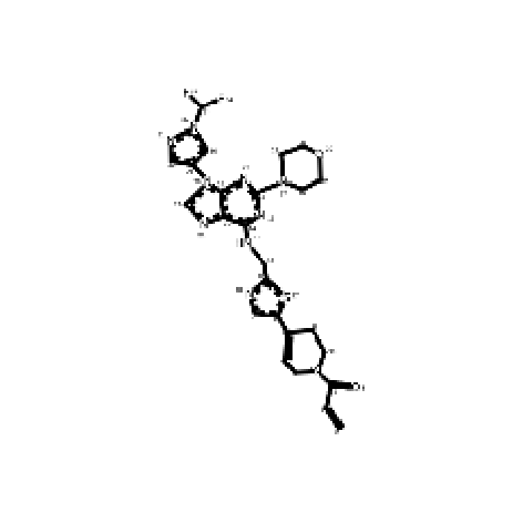 C=CC(=O)N1CC=C(c2cnc(CNc3nc(N4CCOCC4)nc4c3ncn4-c3cnn(C(F)F)c3)s2)CC1